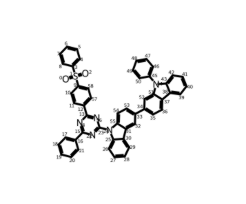 O=S(=O)(c1ccccc1)c1ccc(-c2nc(-c3ccccc3)nc(-n3c4ccccc4c4cc(-c5ccc6c7ccccc7n(-c7ccccc7)c6c5)ccc43)n2)cc1